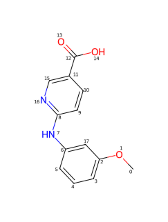 COc1cccc(Nc2ccc(C(=O)O)cn2)c1